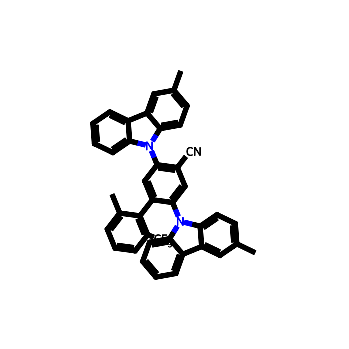 Cc1ccc2c(c1)c1ccccc1n2-c1cc(-c2c(C)cccc2C(F)(F)F)c(-n2c3ccccc3c3cc(C)ccc32)cc1C#N